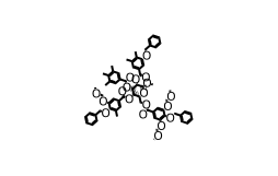 COCOc1cc(C(=O)O[C@@H]2C(COC(=O)c3cc(OCOC)c(OCc4ccccc4)c(OCOC)c3)O[C@@H](OC)C(OC(=O)c3cc(C)c(C)c(OCc4ccccc4)c3)[C@H]2OC(=O)c2cc(C)c(C)c(C)c2)cc(C)c1OCc1ccccc1